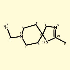 [2H]CN1CCC2(CC1)CN=C(C)S2